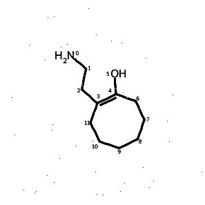 NCCC1=C(O)CCCCCC1